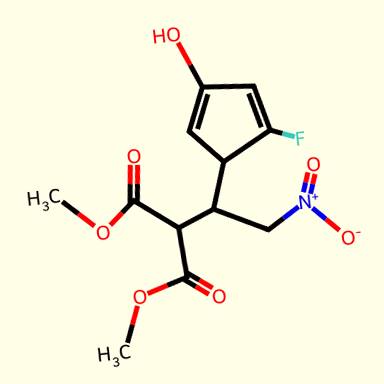 COC(=O)C(C(=O)OC)C(C[N+](=O)[O-])C1C=C(O)C=C1F